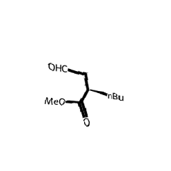 CCCC[C@H](CC=O)C(=O)OC